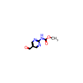 COC(=O)Nc1ncc(C=O)cn1